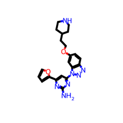 Nc1nc(-c2ccco2)cc(-n2nnc3ccc(OCCC4CCNCC4)cc32)n1